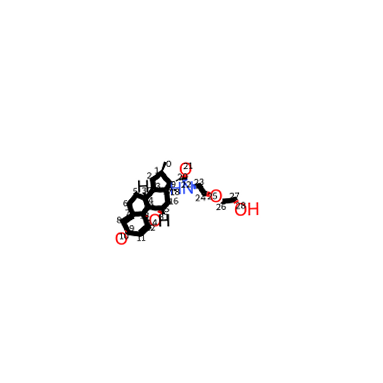 C[C@@H]1CC2[C@H]3CCC4=CC(=O)C=C[C@@]45O[C@@H](C[C@]2(C)[C@H]1C(=O)NCCOCCO)C35